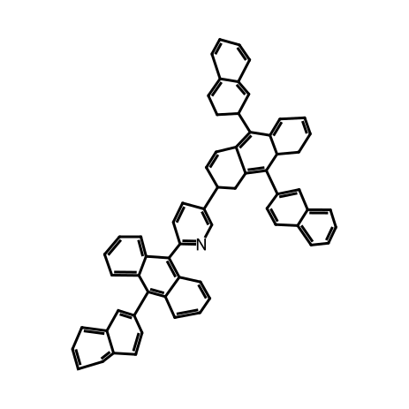 C1=CCC2C(=C1)C(C1C=c3ccccc3=CC1)=C1C=CC(c3ccc(-c4c5ccccc5c(-c5ccc6ccccc6c5)c5ccccc45)nc3)CC1=C2c1ccc2ccccc2c1